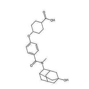 CN(C(=O)c1ccc(OC2CCC(C(=O)O)CC2)cc1)C1C2CC3CC1CC(O)(C3)C2